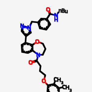 CCCCNC(=O)c1cccc(Cn2cc(-c3cccc4c3OCCCN4C(=O)CCCOc3cccc(C)c3C)cn2)c1